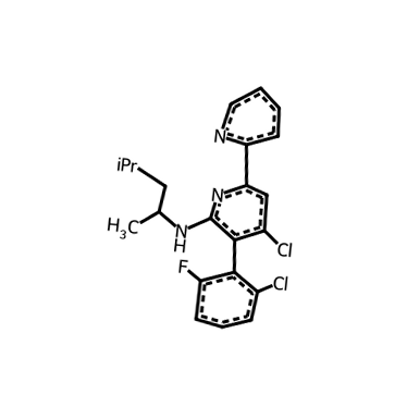 CC(C)CC(C)Nc1nc(-c2ccccn2)cc(Cl)c1-c1c(F)cccc1Cl